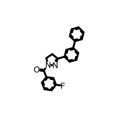 O=C(c1cccc(F)c1)N1CCC(c2cccc(-c3ccccc3)c2)=N1